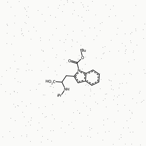 CC(C)NC(Cc1cc2ccccc2n1C(=O)OC(C)(C)C)C(=O)O